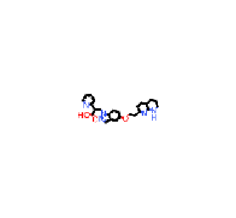 O=C(O)C(Cn1ncc2cc(OCCc3ccc4c(n3)NCCC4)ccc21)c1ccccn1